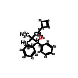 CC(C)(C)[Si](OCC1C=CC1)(c1ccccc1)c1ccccc1